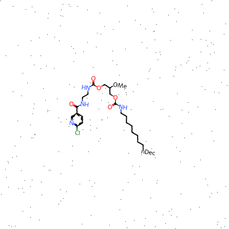 CCCCCCCCCCCCCCCCCCNC(=O)OCC(COC(=O)NCCNC(=O)c1ccc(Cl)nc1)OC